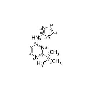 CC(C)(C)c1nccc(Nc2nccs2)n1